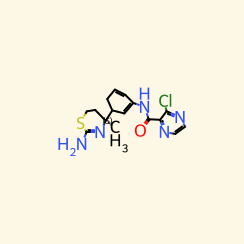 C[C@@]1(C2C=C(NC(=O)c3nccnc3Cl)C=CC2)CCSC(N)=N1